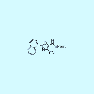 CCCCCNc1oc(-c2cccc3ccccc23)nc1C#N